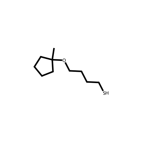 CC1(OCCCCS)CCCC1